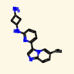 CC(C)(C)c1ccc2ncc(-c3cccc(NC4CC(N)C4)n3)n2c1